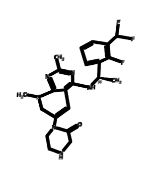 Cc1nc(N[C@H](C)c2cccc(C(F)F)c2F)c2c(n1)N(C)CC(N1CCNCC1=O)=C2